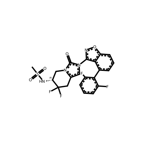 CS(=O)(=O)N[C@@H]1Cn2c(cn(-c3noc4cccc(-c5c(F)cccc5F)c34)c2=O)CC1(F)F